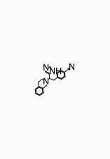 N#Cc1ccc(CC(c2cnc[nH]2)N2CCc3ccccc3C2)cc1